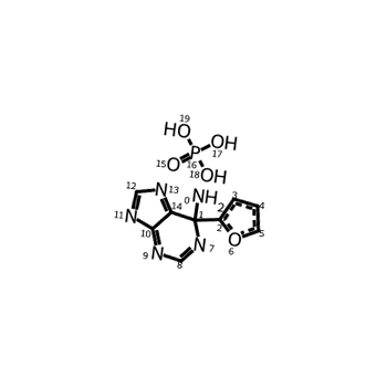 NC1(c2ccco2)N=CN=C2N=CN=C21.O=P(O)(O)O